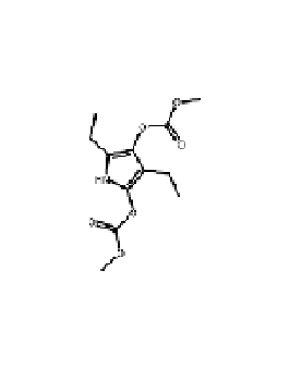 CCc1[nH]c(OC(=O)OC)c(CC)c1OC(=O)OC